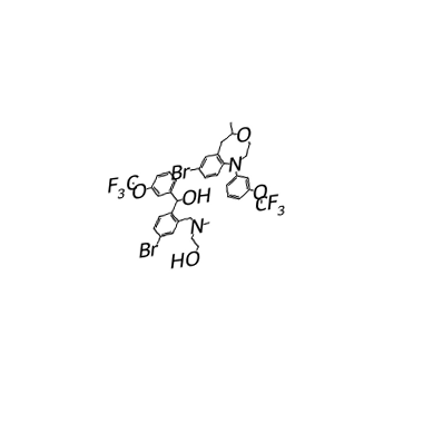 CC1Cc2cc(Br)ccc2N(c2cccc(OC(F)(F)F)c2)CCO1.CN(CCO)Cc1cc(Br)ccc1C(O)c1cccc(OC(F)(F)F)c1